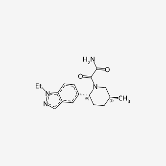 CCn1ncc2cc([C@H]3CC[C@H](C)CN3C(=O)C(N)=O)ccc21